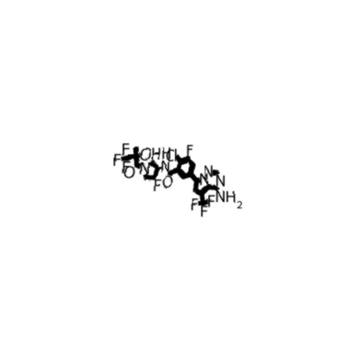 CC(O)(C(=O)N1C[C@H](F)[C@H](NC(=O)c2cc(-c3cc(C(F)(F)F)c4c(N)ncnn34)cc(F)c2Cl)C1)C(F)(F)F